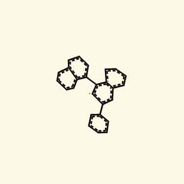 [c]1c(-c2ccccc2)cc2ccccc2c1-c1cccc2ccccc12